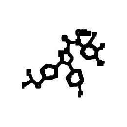 CON(C(=O)N1CC(c2ccc(F)cc2)C(c2ccc(OC(F)F)cc2)=N1)c1ccc(Br)c(F)c1F